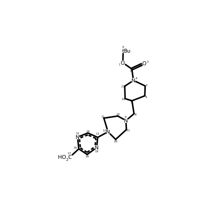 CC(C)(C)OC(=O)N1CCC(CN2CCN(c3cnc(C(=O)O)cn3)CC2)CC1